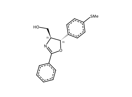 CSc1ccc([C@@H]2OC(c3ccccc3)=N[C@H]2CO)cc1